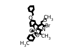 COCc1c(Br)nc(C(C)=O)c2c1c1cc(OCc3ccccc3)ccc1n2S(=O)(=O)c1ccc(C)cc1